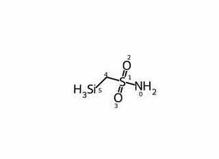 NS(=O)(=O)C[SiH3]